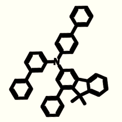 CC1(C)c2ccccc2-c2cc(N(c3ccc(-c4ccccc4)cc3)c3cccc(-c4ccccc4)c3)cc(-c3ccccc3)c21